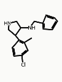 Cc1cc(Cl)ccc1C1CNCC1NCc1ccccc1